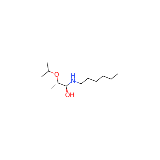 CCCCCCN[C@@H](O)[C@H](C)OC(C)C